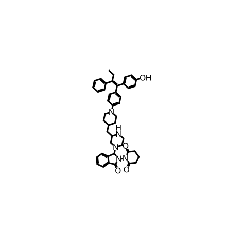 CCC(=C(c1ccc(O)cc1)c1ccc(N2CCC(CC3CN(C4c5ccccc5C(=O)N4N4C(=O)CCCC4=O)CCN3)CC2)cc1)c1ccccc1